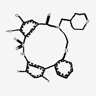 O=C1c2cc(Cl)c(O)c(c2)S(=O)(=O)Nc2cc(c(F)cc2F)-c2ccccc2OCCN1CC1CCOCC1